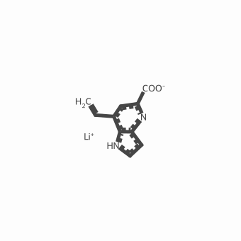 C=Cc1cc(C(=O)[O-])nc2cc[nH]c12.[Li+]